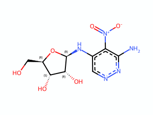 Nc1nncc(N[C@@H]2O[C@H](CO)[C@@H](O)[C@H]2O)c1[N+](=O)[O-]